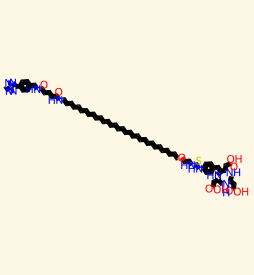 O=C(O)CC1CNC(CC(=O)O)C(Cc2ccc(NC(=S)NCCOCCCCCCCCCCCCCCCCCCCCCCCCCCCCCCCCNC(=O)CCCC(=O)NCc3ccc(-c4nncnn4)cc3)cc2)NC(CC(=O)O)CN1